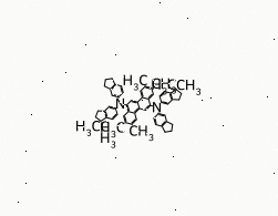 Cc1cc2c(N(c3ccc4c(c3)CCC4)c3ccc4c(c3)CCC4(C)C)cc3c4cc(C)c(C)cc4c(N(c4ccc5c(c4)CCC5)c4ccc5c(c4)CCC5(C)C)cc3c2cc1C